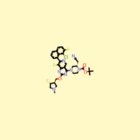 CN1C[C@H](COc2nc(N3CCN(C(=O)OC(C)(C)C)[C@@H](CC#N)C3)c3cnc(-c4cccc5ccc(F)c(Cl)c45)c(F)c3n2)[C@H](F)C1